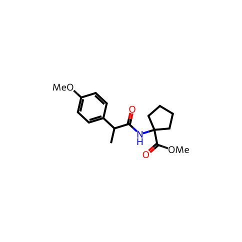 COC(=O)C1(NC(=O)C(C)c2ccc(OC)cc2)CCCC1